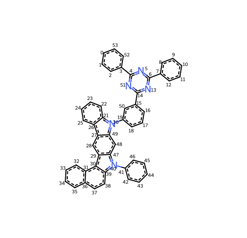 c1ccc(-c2nc(-c3ccccc3)nc(-c3cccc(-n4c5ccccc5c5cc6c7c8ccccc8ccc7n(-c7ccccc7)c6cc54)c3)n2)cc1